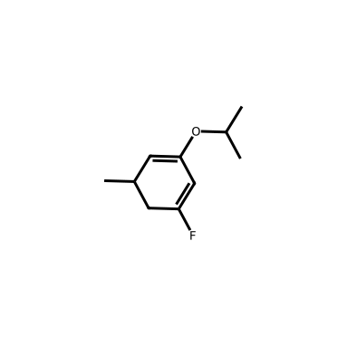 CC1C=C(OC(C)C)C=C(F)C1